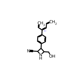 C=C/C=C(\C=C)c1ccc(C2C(C#N)NC2CO)cc1